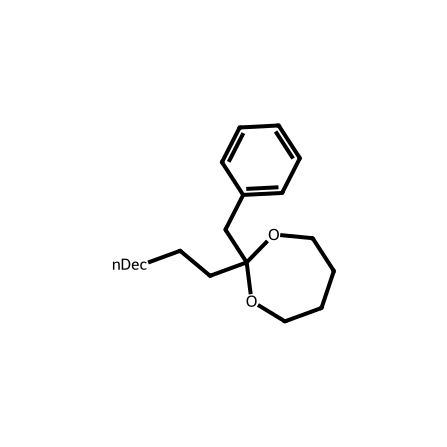 CCCCCCCCCCCCC1(Cc2ccccc2)OCCCCO1